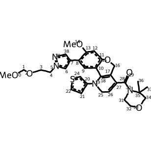 COCOCCn1cc(-c2cc3c(cc2OC)OCC2=C3N(c3ccsc3)CC=C2C(=O)N2CCOCC2(C)C)cn1